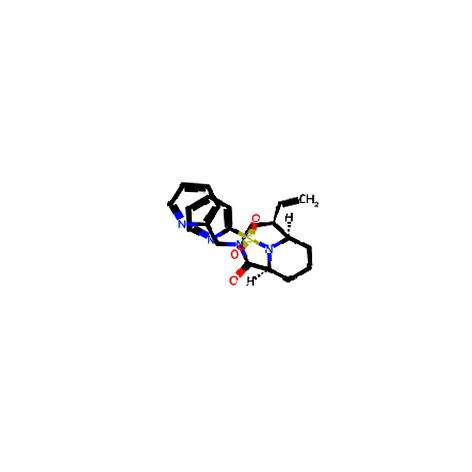 C=C[C@@H]1CN(Cc2ccccn2)C(=O)[C@@H]2CCC[C@H]1N2S(=O)(=O)c1ccccn1